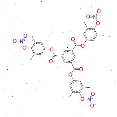 Cc1cc(OC(=O)c2cc(C(=O)Oc3cc(C)c(O[N+](=O)[O-])c(C)c3)cc(C(=O)Oc3cc(C)c(O[N+](=O)[O-])c(C)c3)c2)cc(C)c1O[N+](=O)[O-]